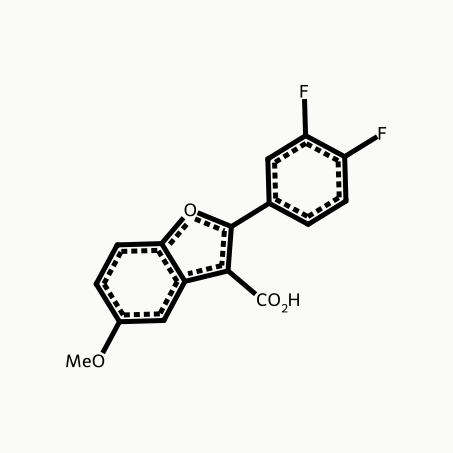 COc1ccc2oc(-c3ccc(F)c(F)c3)c(C(=O)O)c2c1